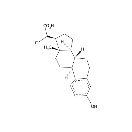 C[C@]12CC[C@@H]3c4ccc(O)cc4CC[C@H]3[C@@H]1CC[C@@H]2C(Cl)C(=O)O